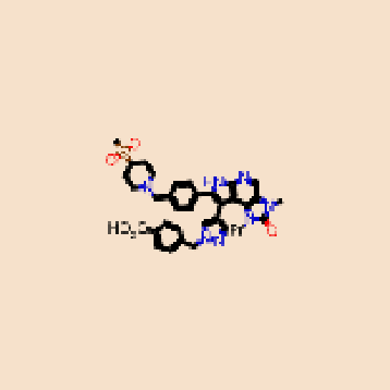 CC(C)n1c(=O)n(C)c2cnc3[nH]c(-c4ccc(CN5CCC(S(C)(=O)=O)CC5)cc4)c(-c4cnn(Cc5ccc(C(=O)O)cc5)c4)c3c21